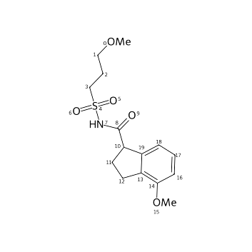 COCCCS(=O)(=O)NC(=O)C1CCc2c(OC)cccc21